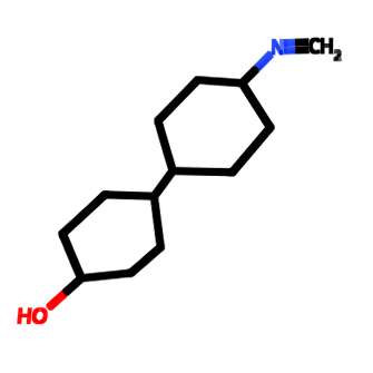 C=NC1CCC(C2CCC(O)CC2)CC1